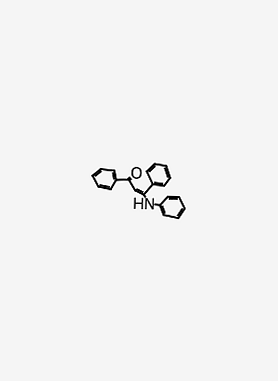 O=C(C=C(Nc1ccccc1)c1ccccc1)c1ccccc1